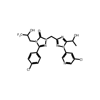 CC(O)c1nc(Cn2nc(-c3ccc(Cl)cc3)n(CC(O)C(F)(F)F)c2=O)nn1-c1cncc(Cl)c1